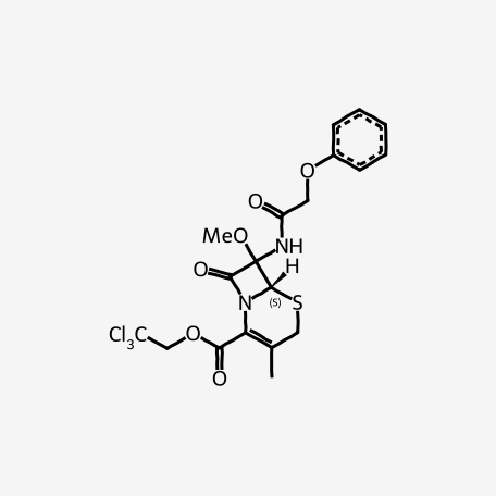 COC1(NC(=O)COc2ccccc2)C(=O)N2C(C(=O)OCC(Cl)(Cl)Cl)=C(C)CS[C@H]21